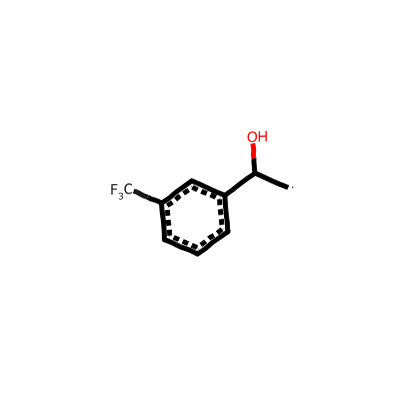 [CH2]C(O)c1cccc(C(F)(F)F)c1